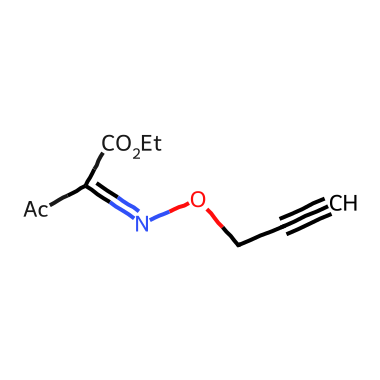 C#CCO/N=C(/C(C)=O)C(=O)OCC